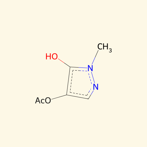 CC(=O)Oc1cnn(C)c1O